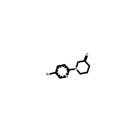 O=C1CCCN(c2ccc(Br)cn2)C1